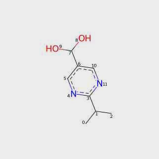 CC(C)c1ncc(C(O)O)cn1